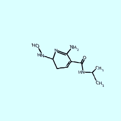 CC(C)NC(=O)C1=CCC(NO)N=C1N